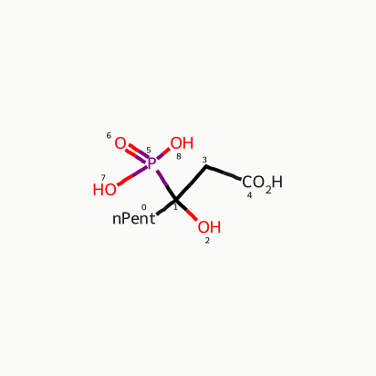 CCCCCC(O)(CC(=O)O)P(=O)(O)O